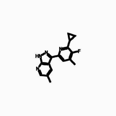 Cc1cnc2[nH]nc(-c3cc(C)c(F)c(C4CC4)n3)c2c1